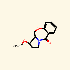 CCCCCOC1CCN2C(=O)c3ccccc3OCC12